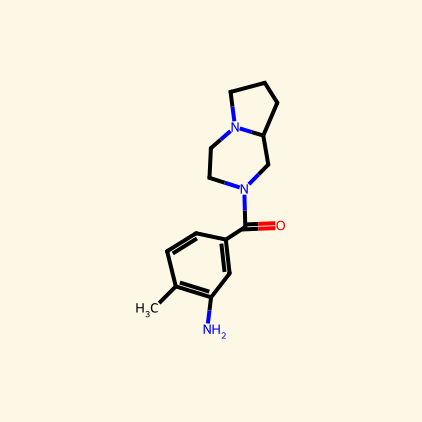 Cc1ccc(C(=O)N2CCN3CCCC3C2)cc1N